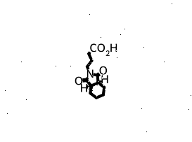 O=C(O)CCCN1C(=O)[C@H]2CCCC[C@H]2C1=O